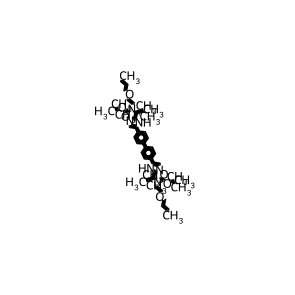 CCCCOCCN(C(=O)OC(C)(C)C)[C@H](c1ncc(-c2ccc(-c3ccc(-c4cnc([C@@H](N(CCOCCCC)C(=O)OC(C)(C)C)C(C)(C)C)[nH]4)cc3)cc2)[nH]1)C(C)(C)C